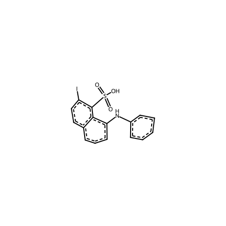 O=S(=O)(O)c1c(I)ccc2cccc(Nc3ccccc3)c12